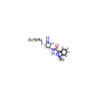 CC(=O)NCC[C@H]1C[C@H](NC(=O)c2nn(C(C)C)c3ccccc23)CN1